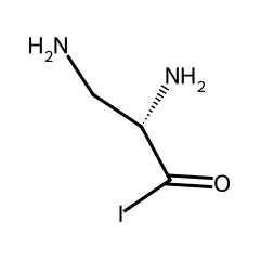 NC[C@H](N)C(=O)I